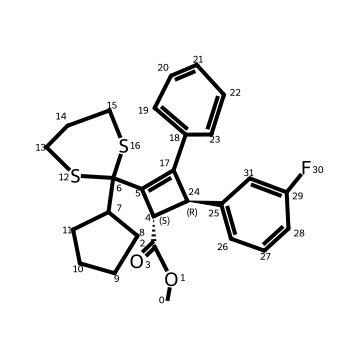 COC(=O)[C@@H]1C(C2(C3CCCC3)SCCCS2)=C(c2ccccc2)[C@H]1c1cccc(F)c1